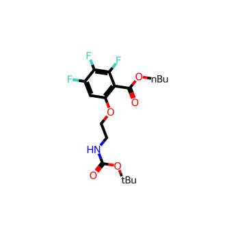 CCCCOC(=O)c1c(OCCNC(=O)OC(C)(C)C)cc(F)c(F)c1F